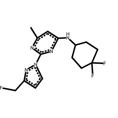 Cc1cc(NC2CCC(F)(F)CC2)nc(-n2ccc(CF)n2)n1